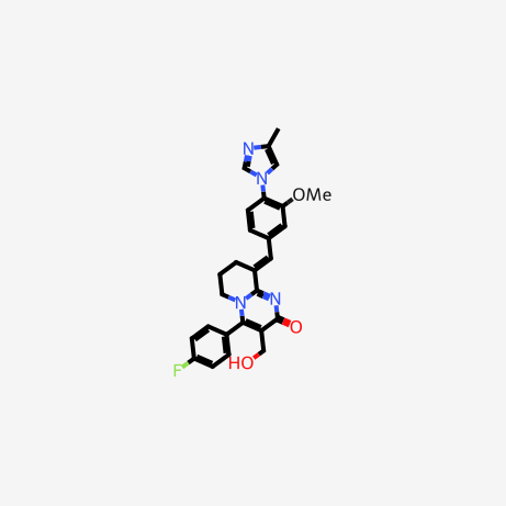 COc1cc(/C=C2\CCCn3c2nc(=O)c(CO)c3-c2ccc(F)cc2)ccc1-n1cnc(C)c1